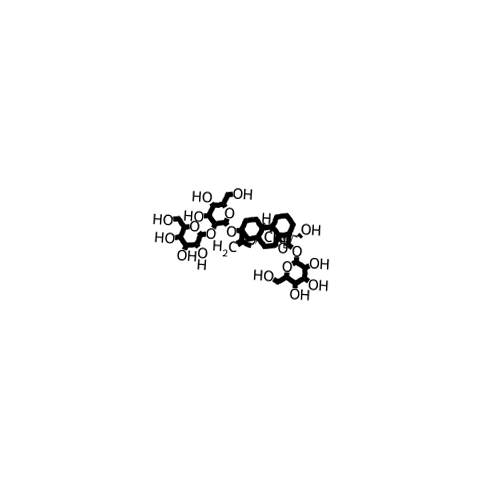 C=C1C[C@@]23CC[C@@H]4[C@](CO)(C(=O)OC5OC(CO)C(O)C(O)C5O)CCC[C@@]4(C)[C@@H]2CCC1(OC1OC(CO)C(O)C(O)C1OC1OC(CO)C(O)C(O)C1O)C3